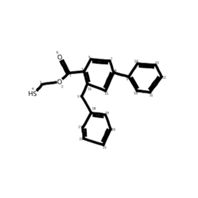 O=C(OCS)c1ccc(-c2ccccc2)cc1Cc1ccccc1